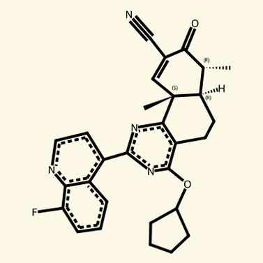 C[C@H]1C(=O)C(C#N)=C[C@@]2(C)c3nc(-c4ccnc5c(F)cccc45)nc(OC4CCCC4)c3CC[C@H]12